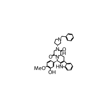 COc1ccc([C@@H]2c3[nH]c4ccccc4c3C[C@@H]3C(=O)N([C@@H]4CCN(Cc5ccccc5)C4)CC(=O)N23)cc1O